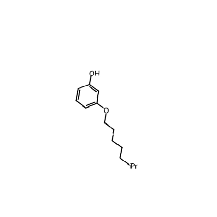 CC(C)CCCCCOc1cccc(O)c1